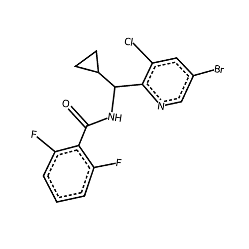 O=C(NC(c1ncc(Br)cc1Cl)C1CC1)c1c(F)cccc1F